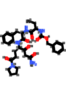 CC(C)CC(NC(=O)OCc1ccccc1)C(=O)N[C@@H](Cc1ccccc1)C(=O)N[C@@H](CCC(=O)N1CCCC1)C(=O)CC(N)=O